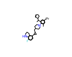 Cc1cc(C(C)C)cc(C(C)C2C=CCC2)c1N1CCC(CC2CC2c2ccc(F)c3c2CCCN3)CC1